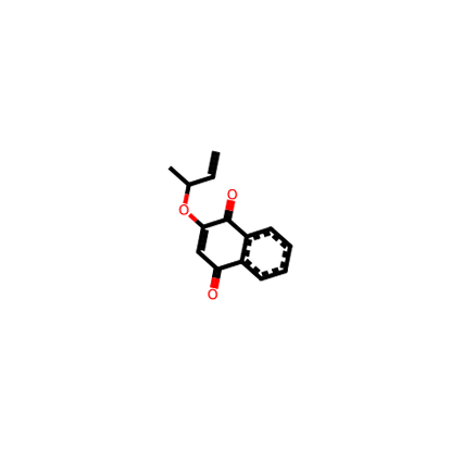 C=CC(C)OC1=CC(=O)c2ccccc2C1=O